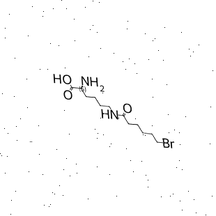 N[C@@H](CCCCNC(=O)CCCCCBr)C(=O)O